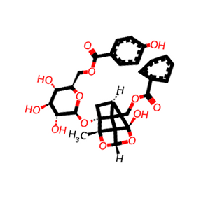 C[C@@]12O[C@H]3O[C@@]4(O)[C@@H]5C[C@@]1(O[C@@H]1O[C@H](COC(=O)c6ccc(O)cc6)[C@@H](O)[C@H](O)[C@H]1O)C5(COC(=O)c1ccccc1)C342